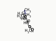 C/C=C\C=C/C(C)C(C)C(=O)N(C)CC(O)CCC(=O)NCCc1ccc(C2=C(C)N=CCC2)cc1